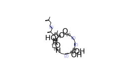 C=C(C)C/C=C/C(=C)C[C@@H](C)[C@H]1OC(=O)[C@H](C)/C=C\C=C/[C@@H](O)[C@H](O)/C=C\CC[C@H]2CC[C@H](O2)[C@H]1O